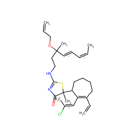 C=CCOC(C)(/C=C/C=C\C)CCNC1=NC(=O)C(C)(C2CCCCC(C=C)=C2/C=C(\C)Cl)S1